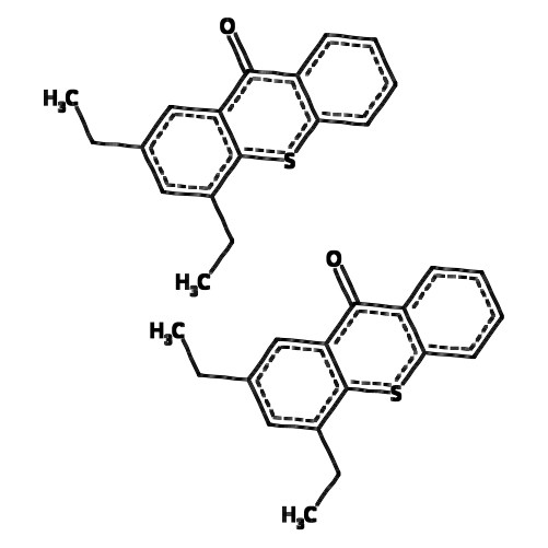 CCc1cc(CC)c2sc3ccccc3c(=O)c2c1.CCc1cc(CC)c2sc3ccccc3c(=O)c2c1